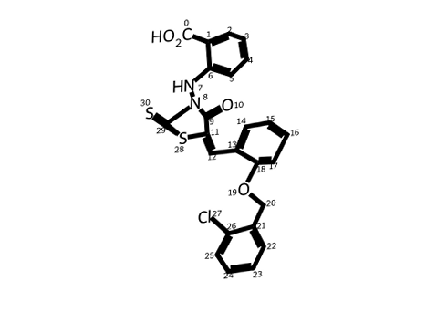 O=C(O)c1ccccc1NN1C(=O)/C(=C\c2ccccc2OCc2ccccc2Cl)SC1=S